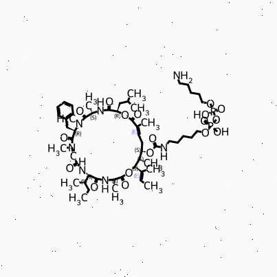 C/C=C(\C)[C@H]1OC(=O)[C@@H](C)NC(=O)[C@H]([C@H](C)CC)NC(=O)CN(C)C(=O)[C@@H](Cc2ccccc2)N(C)C(=O)[C@H](C)NC(=O)[C@@H](CC(C)C)OC(=O)/C(C)=C/C[C@H](OC(=O)NCCCCCOP(=O)(O)OP(=O)(O)OCCCCCN)[C@@H]1C